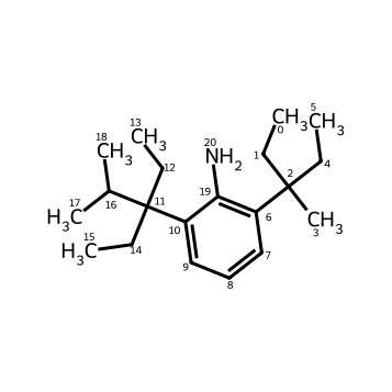 CCC(C)(CC)c1cccc(C(CC)(CC)C(C)C)c1N